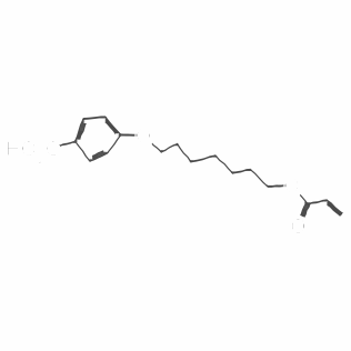 C=CC(=O)OCCCCCCCOc1ccc(C(=O)O)cc1